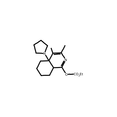 CCOC(=O)OC1=NC(C)=C(C)C2(N3CCCC3)CCCCC12